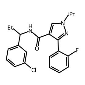 CCC(NC(=O)c1cn(C(C)C)nc1-c1ccccc1F)c1cccc(Cl)c1